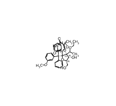 CCOC(C)[C@@]1(OOC)[C@H](O)[C@@H](CO)O[C@]1(n1cc(C)c(=O)[nH]c1=O)C(c1ccccc1)(c1ccccc1)c1cccc(OC)c1